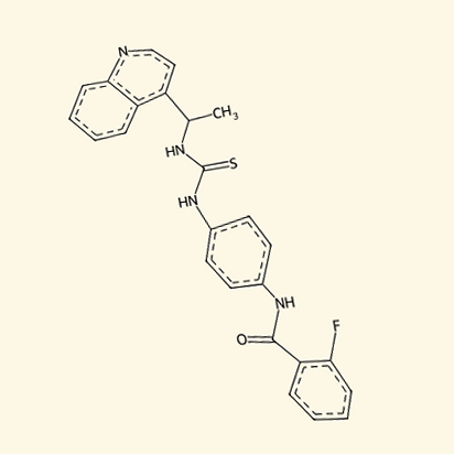 CC(NC(=S)Nc1ccc(NC(=O)c2ccccc2F)cc1)c1ccnc2ccccc12